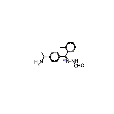 Cc1ccccc1/C(=N\NC=O)c1ccc(C(C)N)cc1